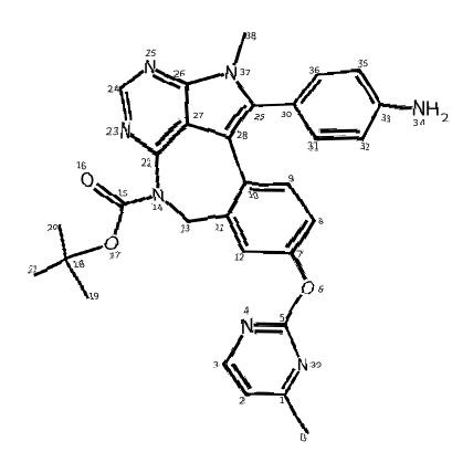 Cc1ccnc(Oc2ccc3c(c2)CN(C(=O)OC(C)(C)C)c2ncnc4c2c-3c(-c2ccc(N)cc2)n4C)n1